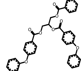 O=C(OCC(COC(=O)c1ccc(Oc2ccccc2)cc1)OC(=O)c1ccc(Oc2ccccc2)cc1)c1ccccc1